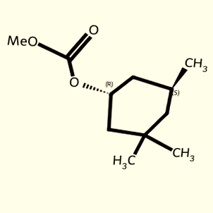 COC(=O)O[C@@H]1C[C@@H](C)CC(C)(C)C1